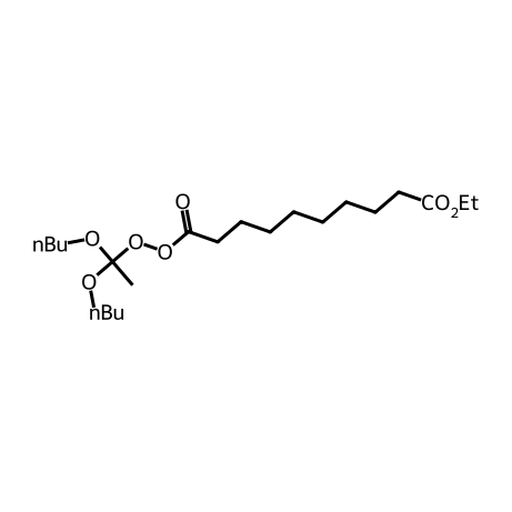 CCCCOC(C)(OCCCC)OOC(=O)CCCCCCCCC(=O)OCC